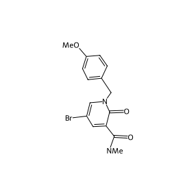 CNC(=O)c1cc(Br)cn(Cc2ccc(OC)cc2)c1=O